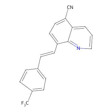 N#Cc1ccc(/C=C/c2ccc(C(F)(F)F)cc2)c2ncccc12